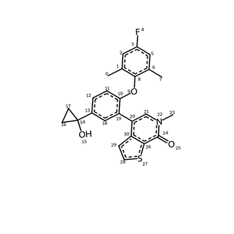 Cc1cc(F)cc(C)c1Oc1ccc(C2(O)CC2)cc1-c1cn(C)c(=O)c2sccc12